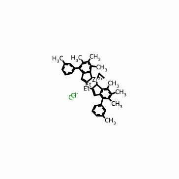 CCC1=Cc2c(-c3cccc(C)c3)c(C)c(C)c(C)c2[CH]1[Zr+2]1([CH]2C(CC)=Cc3c(-c4cccc(C)c4)c(C)c(C)c(C)c32)[CH2][CH2]1.[Cl-].[Cl-]